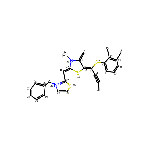 C=C1/C(=C(/C#CC)Sc2cccc(C)c2C)S/C(=C\c2scc[n+]2Cc2ccccc2)N1CC